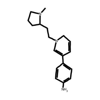 CN1CCCC1CCN1C=C(c2ccc(N)cc2)C=CC1